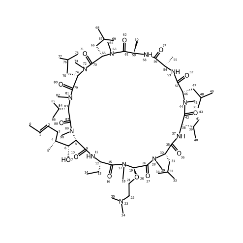 C/C=C/C[C@@H](C)[C@@H](O)[C@H]1C(=O)N[C@@H](CC)C(=O)N(C)[C@H](OCCN(C)C)C(=O)N(C)[C@@H](CC(C)C)C(=O)N[C@@H](C(C)C)C(=O)N(C)[C@@H](CC(C)C)C(=O)N[C@@H](C)C(=O)N[C@H](C)C(=O)N(C)[C@@H](CC(C)C)C(=O)N(C)[C@@H](CC(C)C)C(=O)N(C)[C@@H](C(C)C)C(=O)N1C